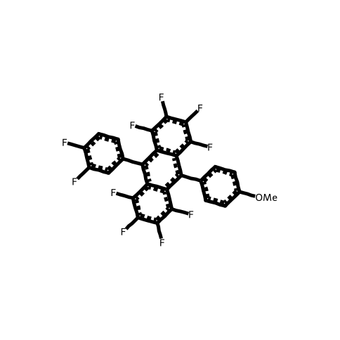 COc1ccc(-c2c3c(F)c(F)c(F)c(F)c3c(-c3ccc(F)c(F)c3)c3c(F)c(F)c(F)c(F)c23)cc1